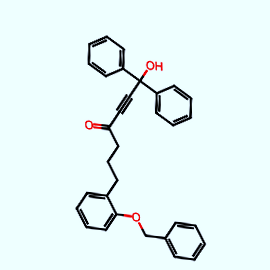 O=C(C#CC(O)(c1ccccc1)c1ccccc1)CCCc1ccccc1OCc1ccccc1